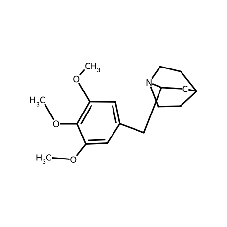 COc1cc(CC2CC3CCN2CC3)cc(OC)c1OC